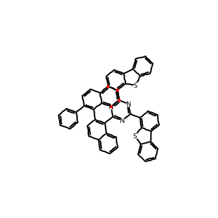 c1ccc(-c2ccc3ccccc3c2-c2ccc3ccccc3c2-c2nc(-c3cccc4c3sc3ccccc34)nc(-c3cccc4c3sc3ccccc34)n2)cc1